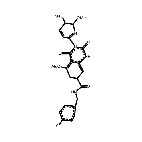 COC1=c2c([nH]c(=O)n(C3=NC(OC)C(OC)C=C3)c2=O)=CC(C(=O)NCc2ccc(Cl)cc2)C1